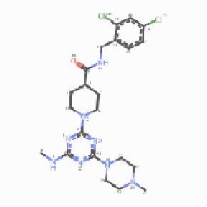 CNc1nc(N2CCC(C(=O)NCc3ccc(Cl)cc3Cl)CC2)nc(N2CCN(C)CC2)n1